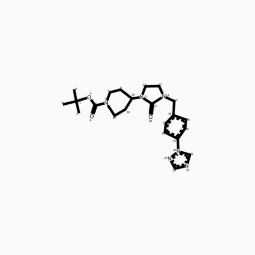 CC(C)(C)OC(=O)N1CCC(N2CCN(Cc3ccc(-n4cncn4)cc3)C2=O)CC1